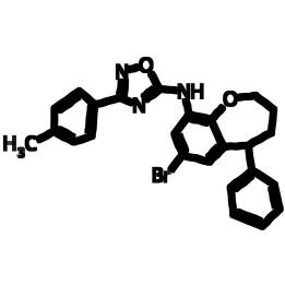 Cc1ccc(-c2noc(Nc3cc(Br)cc4c3OCCCC4c3ccccc3)n2)cc1